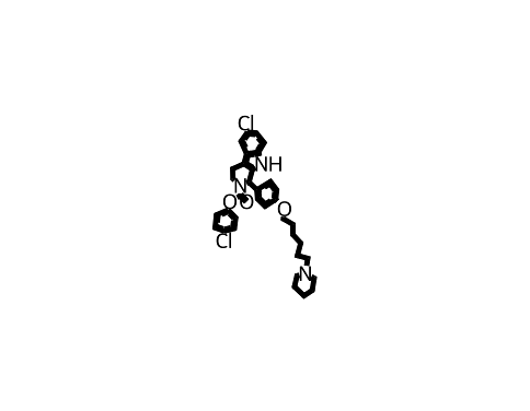 O=C(Oc1ccc(Cl)cc1)N1CCc2c([nH]c3ccc(Cl)cc23)C1c1ccc(OCCCCCCN2CCCCC2)cc1